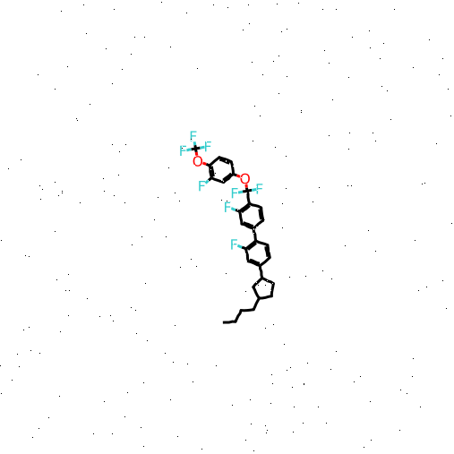 CCCCC1CCC(c2ccc(-c3ccc(C(F)(F)Oc4ccc(OC(F)(F)F)c(F)c4)c(F)c3)c(F)c2)C1